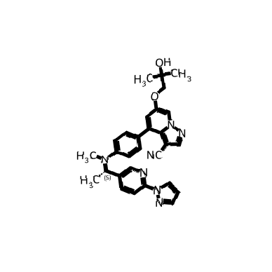 C[C@@H](c1ccc(-n2cccn2)nc1)N(C)c1ccc(-c2cc(OCC(C)(C)O)cn3ncc(C#N)c23)cc1